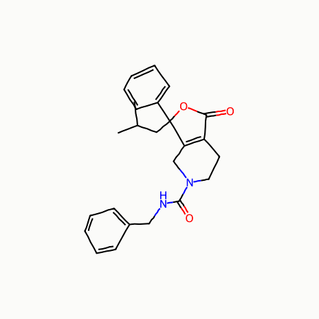 CC(C)CC1(c2ccccc2)OC(=O)C2=C1CN(C(=O)NCc1ccccc1)CC2